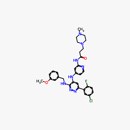 COc1cccc(CNc2nnc(-c3cc(Cl)ccc3F)cc2Nc2ccnc(NC(=O)CCN3CCN(C)CC3)c2)c1